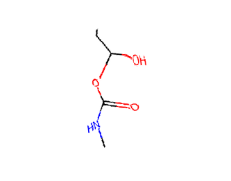 CNC(=O)OC(C)O